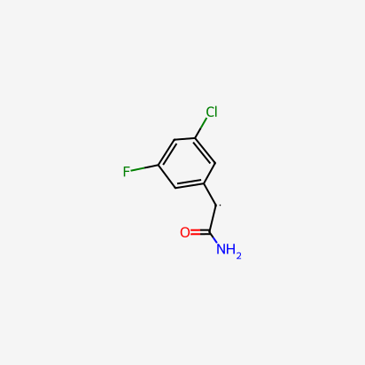 NC(=O)[CH]c1cc(F)cc(Cl)c1